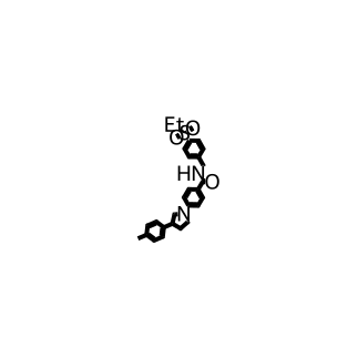 CCS(=O)(=O)c1ccc(CNC(=O)c2ccc(N3CCC(c4ccc(C)cc4)C3)cc2)cc1